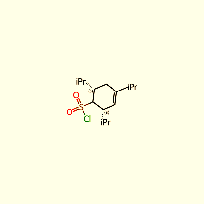 CC(C)C1=C[C@H](C(C)C)C(S(=O)(=O)Cl)[C@H](C(C)C)C1